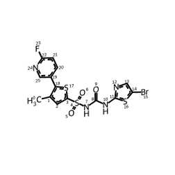 Cc1cc(S(=O)(=O)NC(=O)Nc2ncc(Br)s2)sc1-c1ccc(F)nc1